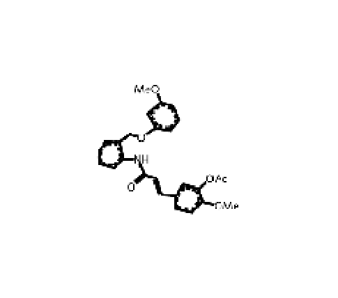 COc1cccc(OCc2ccccc2NC(=O)C=Cc2ccc(OC)c(OC(C)=O)c2)c1